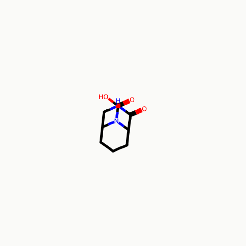 O=C1NCC2CCCC1N2C(=O)O